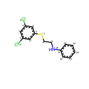 Clc1cc(Cl)cc(SCCNc2ccccc2)c1